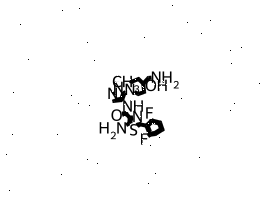 Cn1ncc(NC(=O)c2nc(-c3c(F)cccc3F)sc2N)c1N1CCC(O)(CN)CC1